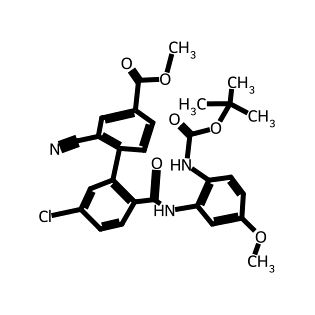 COC(=O)c1ccc(-c2cc(Cl)ccc2C(=O)Nc2cc(OC)ccc2NC(=O)OC(C)(C)C)c(C#N)c1